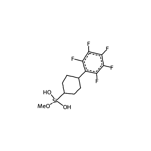 CO[Si](O)(O)C1CCC(c2c(F)c(F)c(F)c(F)c2F)CC1